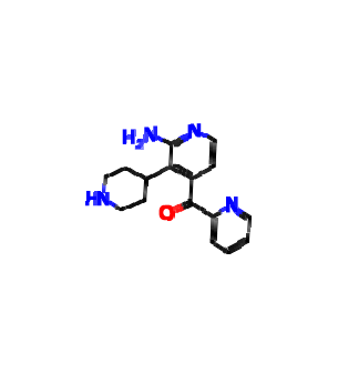 Nc1nccc(C(=O)c2ccccn2)c1C1CCNCC1